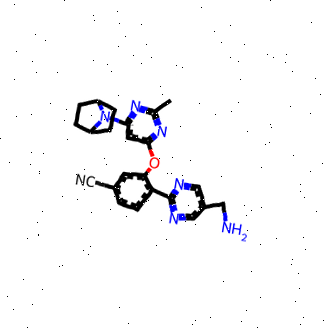 Cc1nc(Oc2cc(C#N)ccc2-c2ncc(CN)cn2)cc(N2C3CCC2CC3)n1